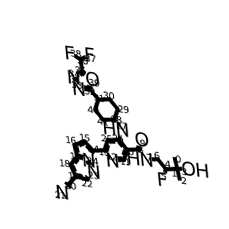 CC(C)(O)C(F)CNC(=O)c1cnc(-c2ccc3cc(C#N)cnn23)cc1NC1CCC(c2nnc(C(F)F)o2)CC1